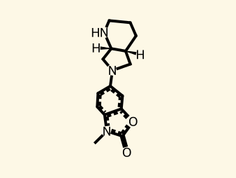 Cn1c(=O)oc2cc(N3C[C@H]4CCCN[C@H]4C3)ccc21